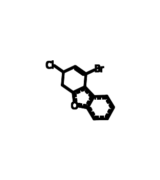 ClC1C=C(Br)c2c(oc3ccccc23)C1